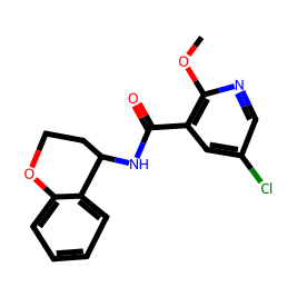 COc1ncc(Cl)cc1C(=O)NC1CCOc2ccccc21